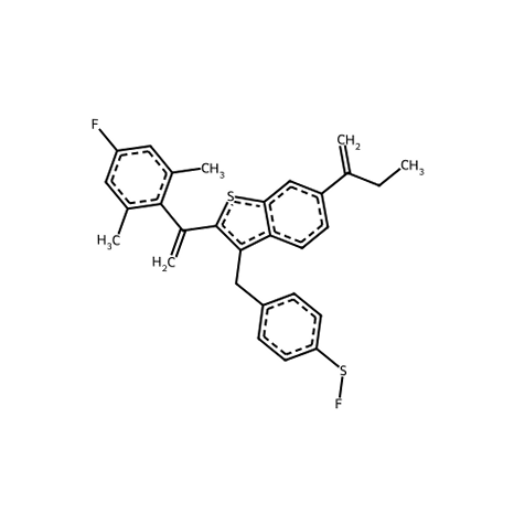 C=C(CC)c1ccc2c(Cc3ccc(SF)cc3)c(C(=C)c3c(C)cc(F)cc3C)sc2c1